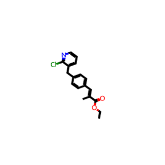 CCOC(=O)/C(C)=C/c1ccc(Cc2cccnc2Cl)cc1